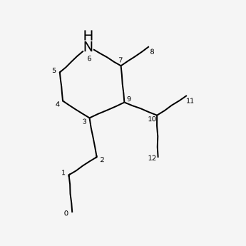 CCCC1CCNC(C)C1C(C)C